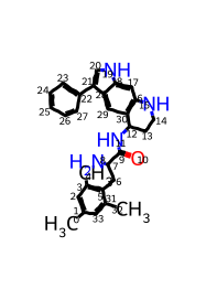 Cc1cc(C)c(CC(N)C(=O)NC2CCNc3cc4[nH]cc(-c5ccccc5)c4cc32)c(C)c1